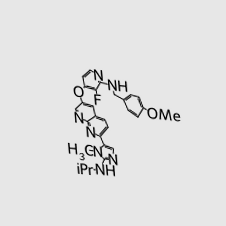 COc1ccc(CNc2nccc(Oc3cnc4nc(-c5cnc(NC(C)C)n5C)ccc4c3)c2F)cc1